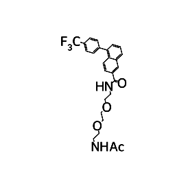 CC(=O)NCCOCCOCCNC(=O)c1ccc2c(-c3ccc(C(F)(F)F)cc3)cccc2c1